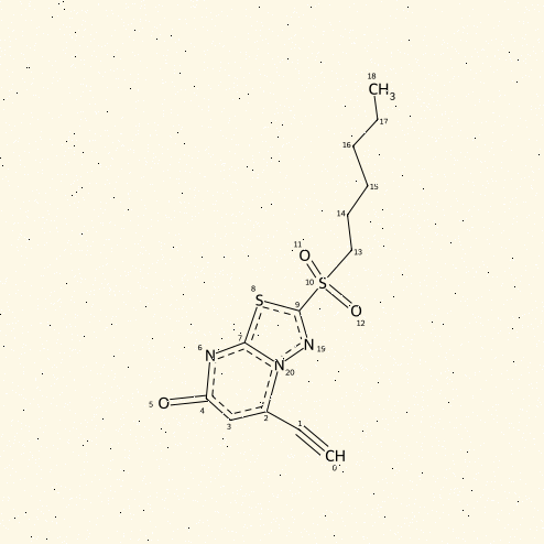 C#Cc1cc(=O)nc2sc(S(=O)(=O)CCCCCC)nn12